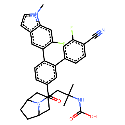 Cn1ccc2cc(-c3ccc(C(=O)N4C5CCC4CC(CC(C)(C)NC(=O)O)C5)cc3-c3ccc(C#N)c(F)c3)c(F)cc21